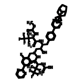 COC(=O)NC(C(=O)NC(Cc1ccc(-c2cnc(N3CC4CCC(C3)N4C3COC3)nc2)cc1)C(O)CN(Cc1c(F)cc(-c2ncccn2)cc1F)NC(=O)C(NC(=O)O)C(C)(C)C(F)(F)F)C(C)(C)C(F)(F)F